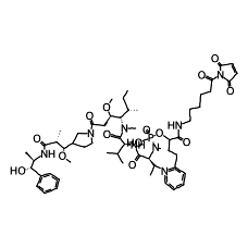 CC[C@H](C)[C@@H]([C@@H](CC(=O)N1CCC([C@H](OC)[C@@H](C)C(=O)N[C@H](C)[C@@H](O)c2ccccc2)C1)OC)N(C)C(=O)[C@@H](NC(=O)[C@H](C(C)C)N(C)P(=O)(O)OC(CCc1ccccn1)C(=O)NCCCCCC(=O)N1C(=O)C=CC1=O)C(C)C